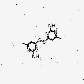 Cc1cc(SSc2cc(C)nc(N)n2)nc(N)n1